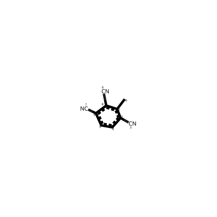 Cc1c(C#N)ccc(C#N)c1C#N